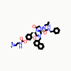 C=CCN(C(=O)NCc1ccccc1)N1CC(=O)N2[C@@H](Cc3ccc(OC(=O)NCCN(C)C)cc3)C(=O)N(Cc3cccc4ccccc34)C[C@@H]21